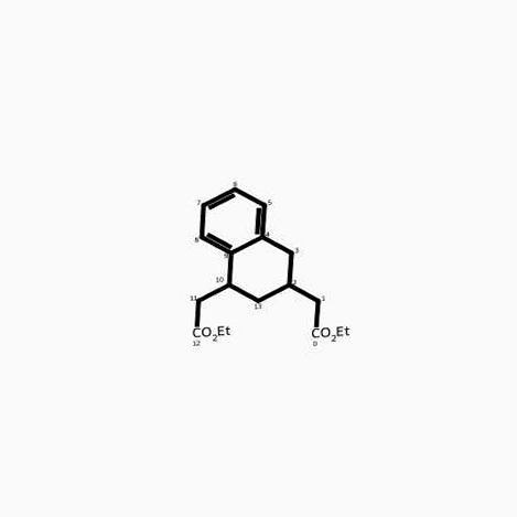 CCOC(=O)CC1Cc2ccccc2C(CC(=O)OCC)C1